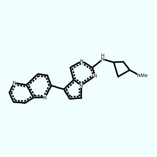 CNC1CC(Nc2ncc3c(-c4ccc5ncccc5n4)ccn3n2)C1